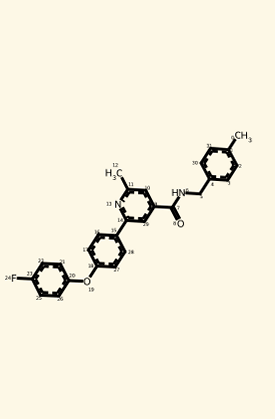 Cc1ccc(CNC(=O)c2cc(C)nc(-c3ccc(Oc4ccc(F)cc4)cc3)c2)cc1